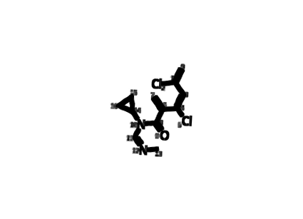 C=C(Cl)/C=C(/Cl)C(=C)C(=O)N(/C=N\C)C1CC1